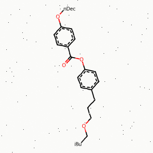 CCCCCCCCCCOc1ccc(C(=O)Oc2ccc(CCCOCC(C)CC)cc2)cc1